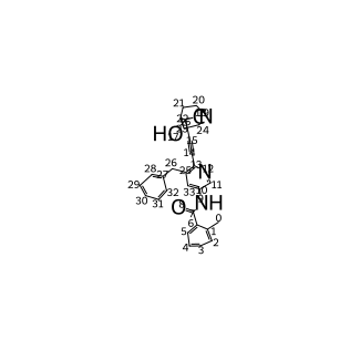 Cc1ccccc1C(=O)Nc1cnc(C#CC2(O)CN3CCC2CC3)c(Cc2ccccc2)c1